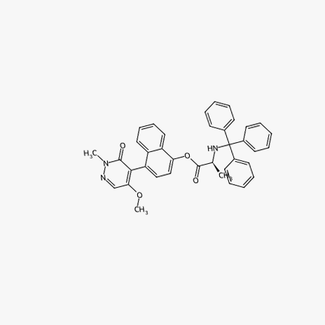 COc1cnn(C)c(=O)c1-c1ccc(OC(=O)[C@H](C)NC(c2ccccc2)(c2ccccc2)c2ccccc2)c2ccccc12